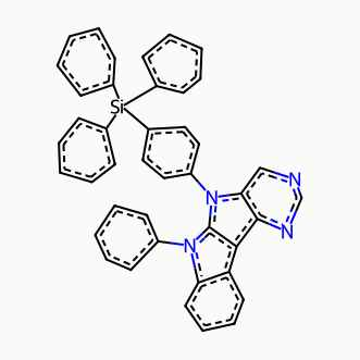 c1ccc(-n2c3ccccc3c3c4ncncc4n(-c4ccc([Si](c5ccccc5)(c5ccccc5)c5ccccc5)cc4)c32)cc1